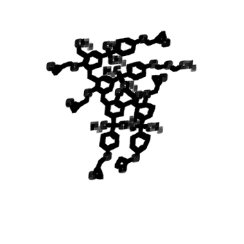 CCOCOc1ccc(C(C)(C)c2cc(Cc3cc(C(C)(C)c4ccc(OCC5CO5)cc4)cc(CC)c3OCC3CO3)c(OCC3CO3)c(Cc3cc(C(C)(C)c4ccc(OCC5CO5)cc4)cc(Cc4cc(C(C)(C)c5ccc(OC6CCO6)cc5)ccc4OCC4CO4)c3OCC3CO3)c2)cc1